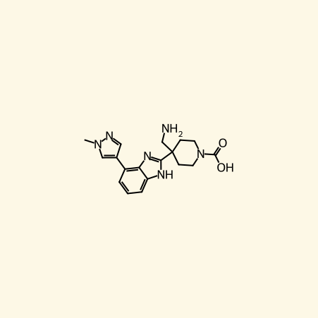 Cn1cc(-c2cccc3[nH]c(C4(CN)CCN(C(=O)O)CC4)nc23)cn1